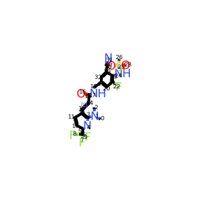 CN(C)c1nc(C(F)(F)F)ccc1/C=C/C(=O)NCc1cc(F)c(NS(C)(=O)=O)c(C#N)c1